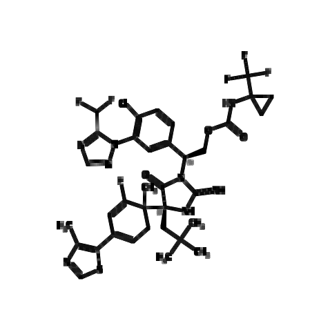 Cc1ncsc1C1=CCC(C)([C@@]2(CC(C)(C)C)NC(=N)N([C@H](COC(=O)NC3(C(F)(F)F)CC3)c3ccc(Cl)c(-n4ncnc4C(F)F)c3)C2=O)C(F)=C1